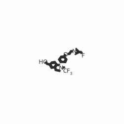 OCc1ccc2c(c1)CCN(CC(F)(F)F)[C@H]2c1ccc(OCCN2CC(CF)C2)cc1